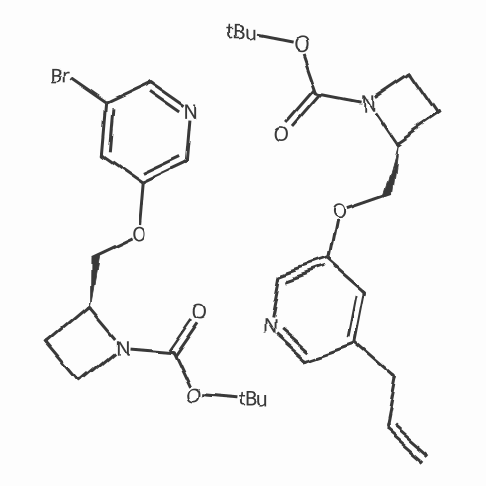 C=CCc1cncc(OC[C@@H]2CCN2C(=O)OC(C)(C)C)c1.CC(C)(C)OC(=O)N1CC[C@H]1COc1cncc(Br)c1